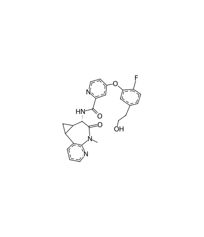 CN1C(=O)[C@@H](NC(=O)c2cc(Oc3cc(CCO)ccc3F)ccn2)C2CC2c2cccnc21